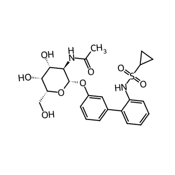 CC(=O)N[C@H]1[C@H](Oc2cccc(-c3ccccc3NS(=O)(=O)C3CC3)c2)O[C@H](CO)[C@H](O)[C@@H]1O